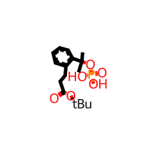 CC(C)(C)OC(=O)CCc1ccccc1C(C)(C)OP(=O)(O)O